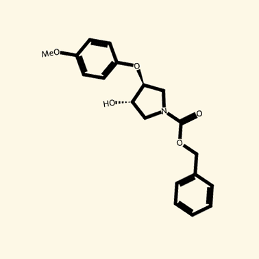 COc1ccc(O[C@H]2CN(C(=O)OCc3ccccc3)C[C@@H]2O)cc1